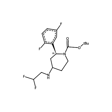 CC(C)(C)OC(=O)N1CCC(NCC(F)F)C[C@H]1c1cc(F)ccc1F